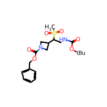 CC(C)(C)OC(=O)NCC(C1CN(C(=O)OCc2ccccc2)C1)S(C)(=O)=O